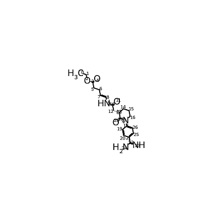 CCOC(=O)CCC=CNC(=O)C[C@@H]1CCCN(c2ccc(C(=N)N)cc2)C1=O